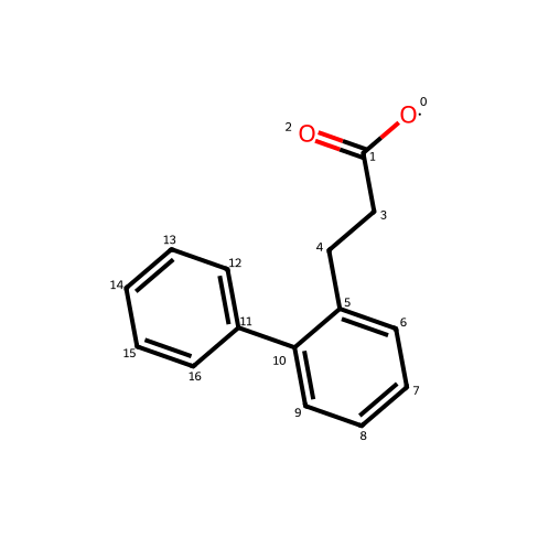 [O]C(=O)CCc1ccccc1-c1ccccc1